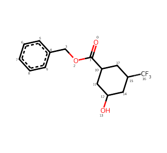 O=C(OCc1ccccc1)C1CC(O)CC(C(F)(F)F)C1